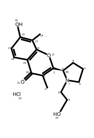 Cc1c([C@H]2CCCN2CCO)oc2c(C)c(O)ccc2c1=O.Cl